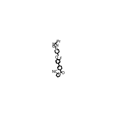 CC(C)c1noc(N2CCC(COc3ccc(C4=CCC(C(=O)N5CCC[C@H]5C#N)CC4)cc3F)CC2)n1